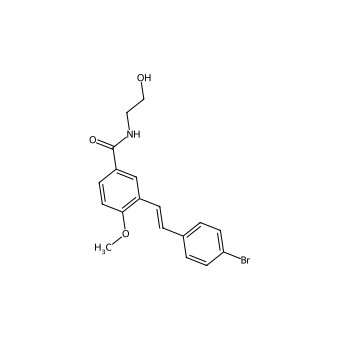 COc1ccc(C(=O)NCCO)cc1/C=C/c1ccc(Br)cc1